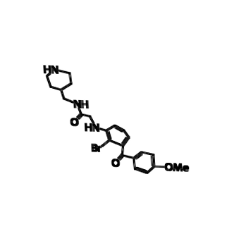 COc1ccc(C(=O)c2cccc(NCC(=O)NCC3CCNCC3)c2Br)cc1